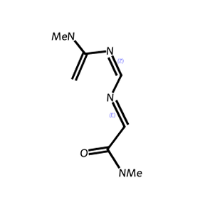 C=C(/N=C\N=C\C(=O)NC)NC